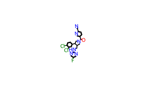 N#Cc1ccc(C(=O)N2CC(CNc3ncc(F)cn3)C(c3ccc(Cl)c(Cl)c3)C2)cn1